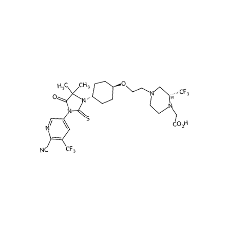 CC1(C)C(=O)N(c2cnc(C#N)c(C(F)(F)F)c2)C(=S)N1[C@H]1CC[C@H](OCCN2CCN(CC(=O)O)[C@@H](C(F)(F)F)C2)CC1